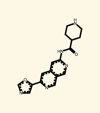 O=C(Nc1cc2cc(-c3cnco3)ncc2cn1)C1CCNCC1